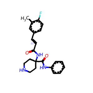 Cc1cc(/C=C/C(=O)NC2(C(=O)Nc3ccccc3)CCNCC2)ccc1F